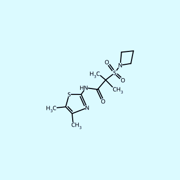 Cc1nc(NC(=O)C(C)(C)S(=O)(=O)N2CCC2)sc1C